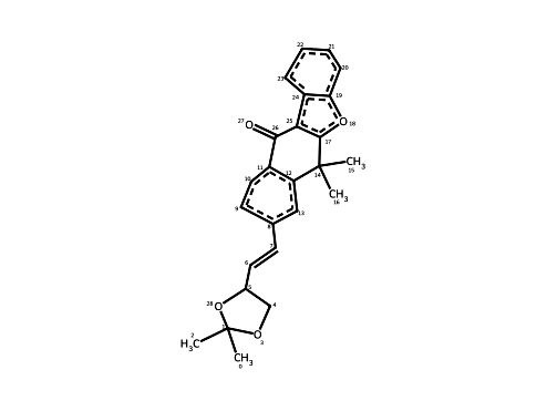 CC1(C)OCC(C=Cc2ccc3c(c2)C(C)(C)c2oc4ccccc4c2C3=O)O1